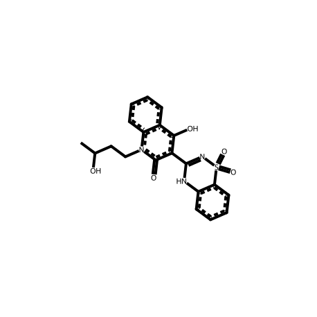 CC(O)CCn1c(=O)c(C2=NS(=O)(=O)c3ccccc3N2)c(O)c2ccccc21